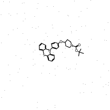 CC(C)(C)OC(=O)N1CCC(Oc2ccc(N3c4ccccc4Sc4ccccc43)cc2)CC1